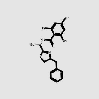 CC[C@H](C)[C@H](NC(=O)c1c(C(C)C)cc(C(C)C)cc1C(C)C)C1=NC(Cc2ccccc2)CO1